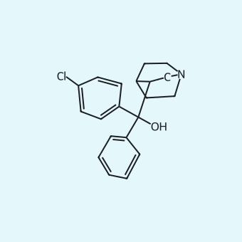 OC(c1ccccc1)(c1ccc(Cl)cc1)C1CN2CCC1CC2